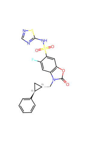 O=c1oc2cc(S(=O)(=O)Nc3ncns3)c(F)cc2n1C[C@H]1C[C@@H]1c1ccccc1